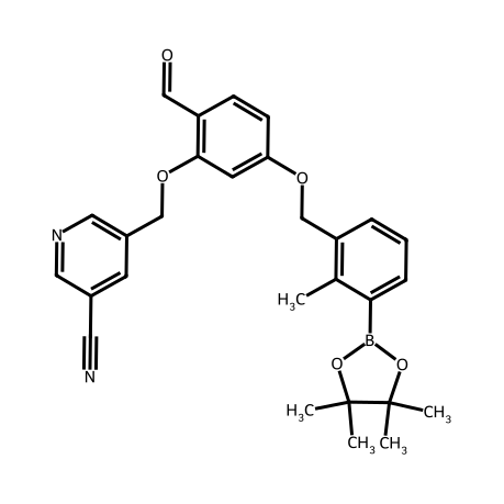 Cc1c(COc2ccc(C=O)c(OCc3cncc(C#N)c3)c2)cccc1B1OC(C)(C)C(C)(C)O1